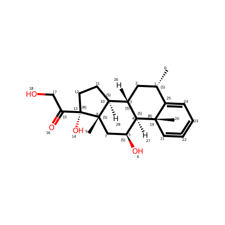 C[C@H]1C[C@@H]2[C@H]([C@@H](O)C[C@@]3(C)[C@H]2CC[C@]3(O)C(=O)CO)[C@@]2(C)C=C=CC=C12